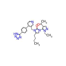 CCCCc1cn(-c2c(C(C)=O)cnn2CC)c(=O)n1Cc1cnccc1-c1ccc(-c2nnn[nH]2)cc1